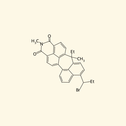 CCC(Br)c1ccc2c3c(cccc13)-c1ccc3c4c(ccc(c14)C2(C)CC)C(=O)N(C)C3=O